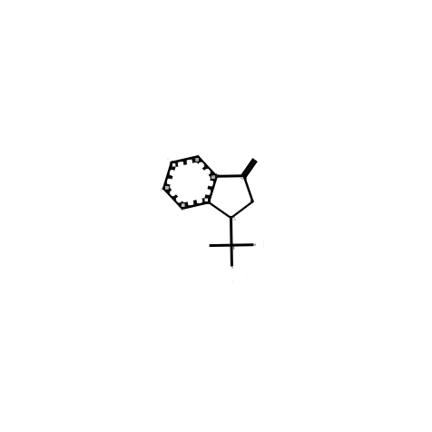 CC(C)(C)C1CC(=O)c2ccccc21